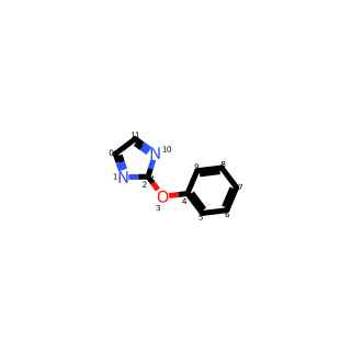 C1=N[C](Oc2ccccc2)N=C1